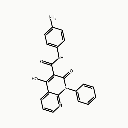 Nc1ccc(NC(=O)c2c(O)c3cccnc3n(-c3ccccc3)c2=O)cc1